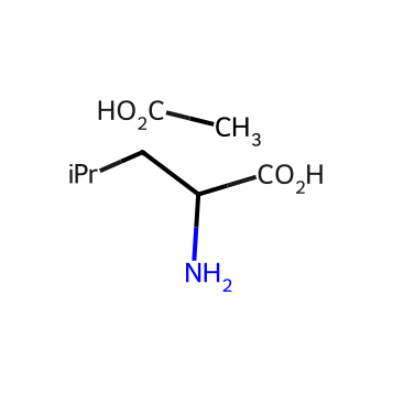 CC(=O)O.CC(C)CC(N)C(=O)O